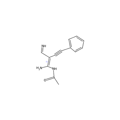 CC(=O)N/C(N)=C(\C#Cc1ccccc1)C=N